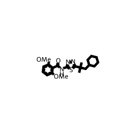 COc1cccc(OC)c1C(=O)Nc1nnc(C(C)(C)CC2CCCCC2)s1